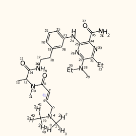 [2H]C([2H])([2H])N(C/C=C/C(=O)N(C)C(C)C(=O)NCCc1cccc(Nc2nc(N(C)CC)c(CC)nc2C(N)=O)c1)C([2H])([2H])[2H]